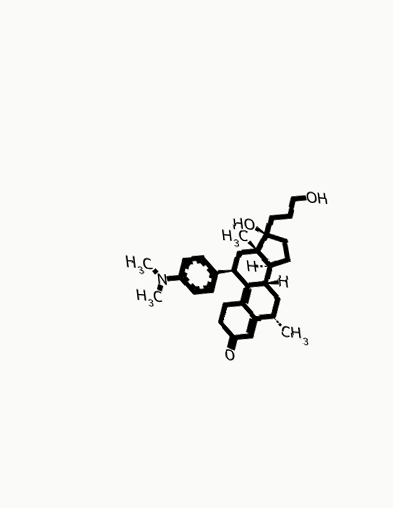 C[C@H]1C[C@@H]2C(=C3CCC(=O)C=C31)[C@@H](c1ccc(N(C)C)cc1)C[C@@]1(C)[C@H]2CC[C@@]1(O)CCCO